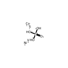 O=P(O)(O)O.[Co].[Ni].[Ti].[V]